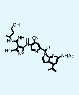 C=C(C)c1cc(NC(C)=O)nc2c1ccn2C(=O)c1cc(C#N)c(Nc2snc(O)c2C(=N)NC(C)CCO)cn1